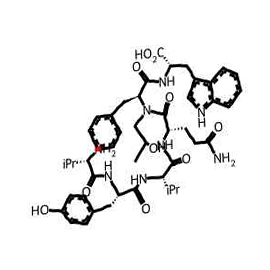 CC(O)CN(C(=O)[C@H](CCC(N)=O)NC(=O)[C@@H](NC(=O)[C@H](Cc1ccc(O)cc1)NC(=O)[C@@H](N)C(C)C)C(C)C)[C@@H](Cc1ccccc1)C(=O)N[C@@H](Cc1c[nH]c2ccccc12)C(=O)O